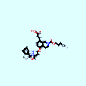 CCCCOC(=O)N1CCc2c(OCCC3=COC(C)(c4ccccc4)N3)ccc(CCC(=O)O)c2C1